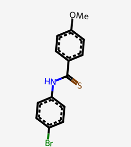 COc1ccc(C(=S)Nc2ccc(Br)cc2)cc1